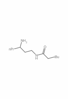 CCCC(N)CCNC(=O)CC(C)CC